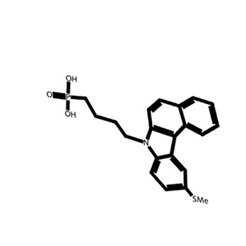 CSc1ccc2c(c1)c1c3ccccc3ccc1n2CCCCP(=O)(O)O